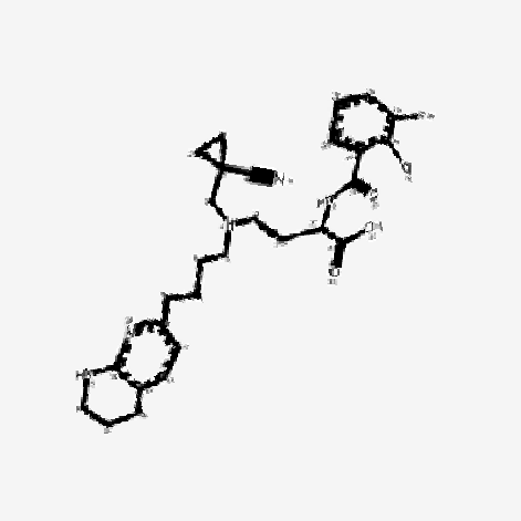 N#CC1(CN(CCCCc2ccc3c(n2)NCCC3)CCC(NC(=O)c2cccc(F)c2Cl)C(=O)O)CC1